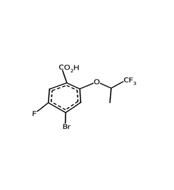 CC(Oc1cc(Br)c(F)cc1C(=O)O)C(F)(F)F